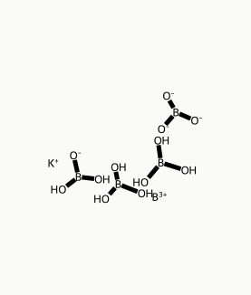 OB(O)O.OB(O)O.[B+3].[K+].[O-]B(O)O.[O-]B([O-])[O-]